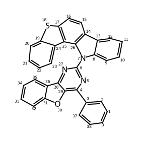 c1ccc(-c2nc(-n3c4ccccc4c4ccc5sc6ccccc6c5c43)nc3c2oc2ccccc23)cc1